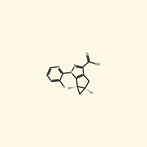 O=C(O)c1nn(-c2ncccc2F)c2c1C[C@H]1C[C@@H]21